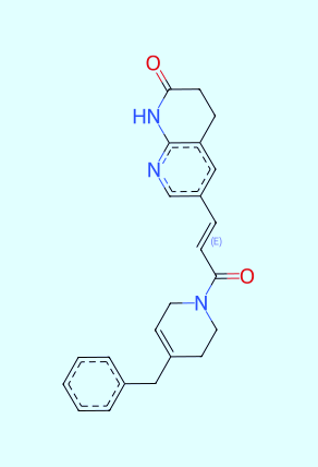 O=C1CCc2cc(/C=C/C(=O)N3CC=C(Cc4ccccc4)CC3)cnc2N1